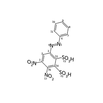 O=[N+]([O-])c1cc(N=Nc2ccccc2)c(S(=O)(=O)O)c(S(=O)(=O)O)c1[N+](=O)[O-]